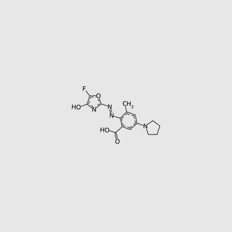 Cc1cc(N2CCCC2)cc(C(=O)O)c1N=Nc1nc(O)c(F)o1